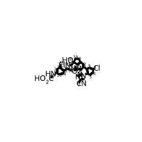 N#Cc1cn(-c2ccc(Cl)cc2-c2cc3c([n+]([O-])c2)C(O)(c2nc(-c4ccc(NC(=O)O)cc4Cl)c[nH]2)CC3)nn1